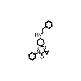 O=C1N(c2ccccc2)C[C@]2(CC[C@@H](NCCc3ccccc3)CC2)OC12CC2